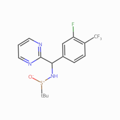 CC(C)(C)[S+]([O-])NC(c1ccc(C(F)(F)F)c(F)c1)c1ncccn1